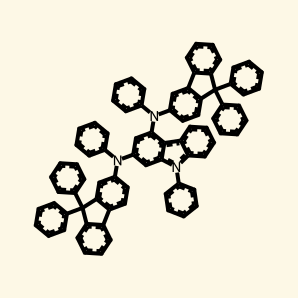 c1ccc(N(c2ccc3c(c2)C(c2ccccc2)(c2ccccc2)c2ccccc2-3)c2cc(N(c3ccccc3)c3ccc4c(c3)-c3ccccc3C4(c3ccccc3)c3ccccc3)c3c4ccccc4n(-c4ccccc4)c3c2)cc1